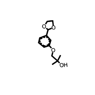 CC(C)(O)COc1cccc(C2OCCO2)c1